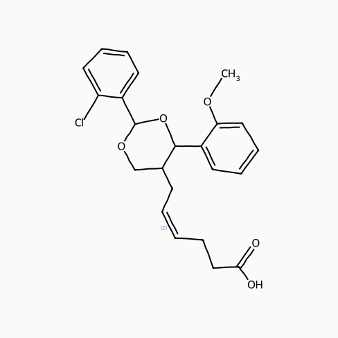 COc1ccccc1C1OC(c2ccccc2Cl)OCC1C/C=C\CCC(=O)O